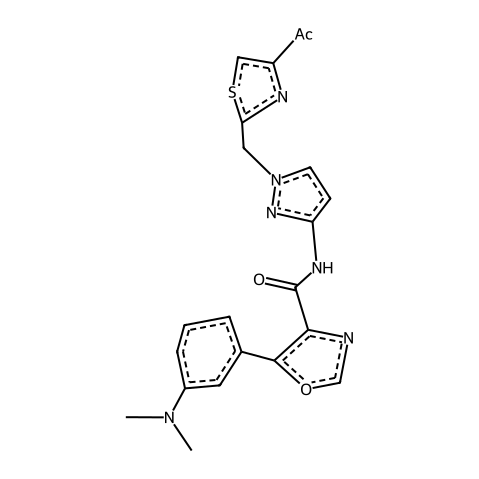 CC(=O)c1csc(Cn2ccc(NC(=O)c3ncoc3-c3cccc(N(C)C)c3)n2)n1